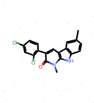 Cc1ccc2[nH]c3c(cc(-c4ccc(Cl)cc4Cl)c(=O)n3C)c2c1